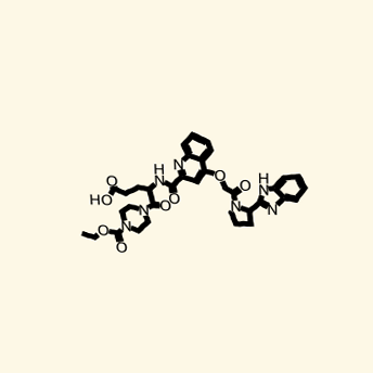 CCOC(=O)N1CCN(C(=O)C(CCC(=O)O)NC(=O)c2cc(OCC(=O)N3CCCC3c3nc4ccccc4[nH]3)c3ccccc3n2)CC1